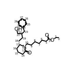 CCOC(=O)CCCCCCN1C(=O)CCC[C@@H]1CCC(CO)Cc1ccccc1